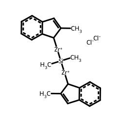 CC1=Cc2ccccc2[CH]1[Zr+][Si](C)(C)[Zr+][CH]1C(C)=Cc2ccccc21.[Cl-].[Cl-]